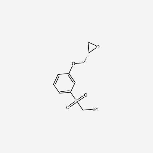 CC(C)CS(=O)(=O)c1cccc(OC[C@@H]2CO2)c1